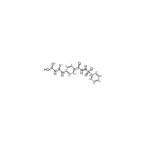 O=C(O)NC(=S)Nc1ccc(C(=O)NNS(=O)(=O)c2ccccc2)cc1